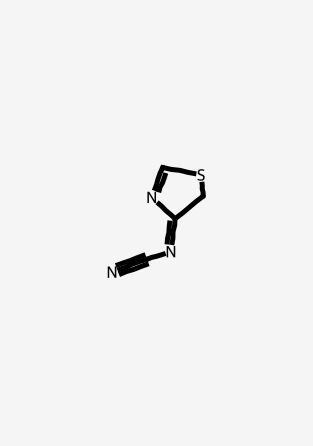 N#CN=C1CSC=N1